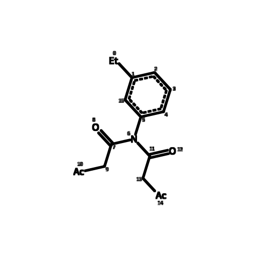 CCc1cccc(N(C(=O)CC(C)=O)C(=O)CC(C)=O)c1